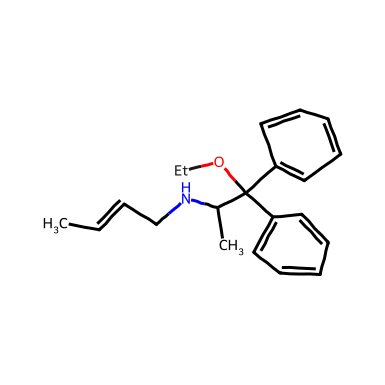 CC=CCNC(C)C(OCC)(c1ccccc1)c1ccccc1